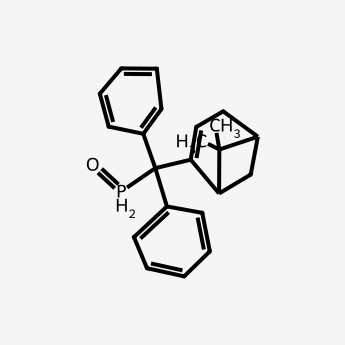 CC1(C)C2CC=C(C([PH2]=O)(c3ccccc3)c3ccccc3)C1C2